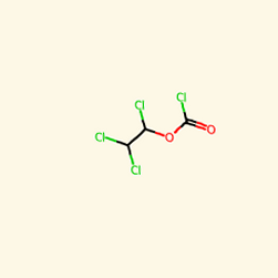 O=C(Cl)OC(Cl)C(Cl)Cl